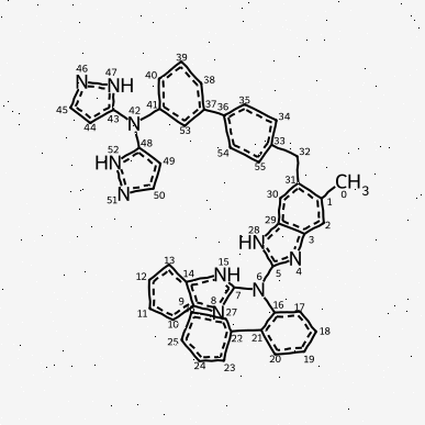 Cc1cc2nc(N(c3nc4ccccc4[nH]3)c3ccccc3-c3ccccc3)[nH]c2cc1Cc1ccc(-c2cccc(N(c3ccn[nH]3)c3ccn[nH]3)c2)cc1